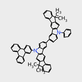 CC1(C)c2ccccc2-c2cc3c4cc(-c5ccc6c(c5)c5cc7c(cc5n6-c5ccc6c8ccccc8c8ccccc8c6c5)C(C)(C)c5ccccc5-7)ccc4n(-c4ccccc4)c3cc21